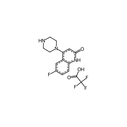 O=C(O)C(F)(F)F.O=c1cc(N2CCNCC2)c2cc(F)ccc2[nH]1